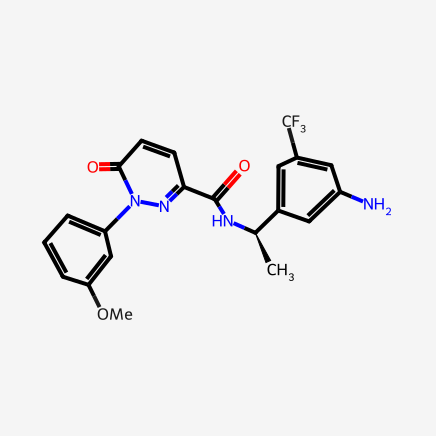 COc1cccc(-n2nc(C(=O)N[C@H](C)c3cc(N)cc(C(F)(F)F)c3)ccc2=O)c1